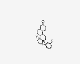 C[C@]12C=CC3=C4CCC(=O)C=C4CCC3[C@@H]1CC[C@]2(C)c1cccc(F)c1